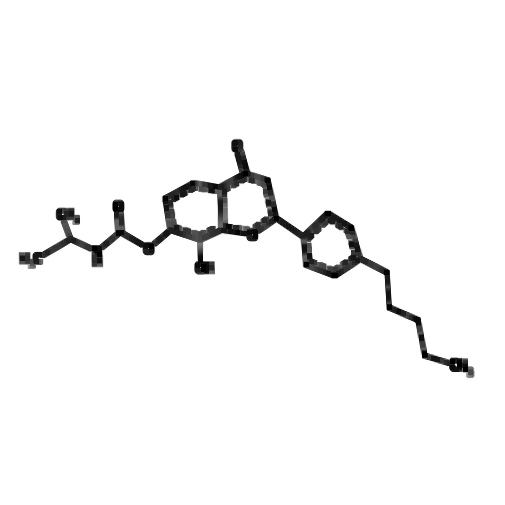 CCCCCc1ccc(-c2cc(=O)c3ccc(OC(=O)NC(C)C)c(O)c3o2)cc1